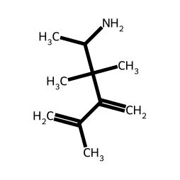 C=C(C)C(=C)C(C)(C)C(C)N